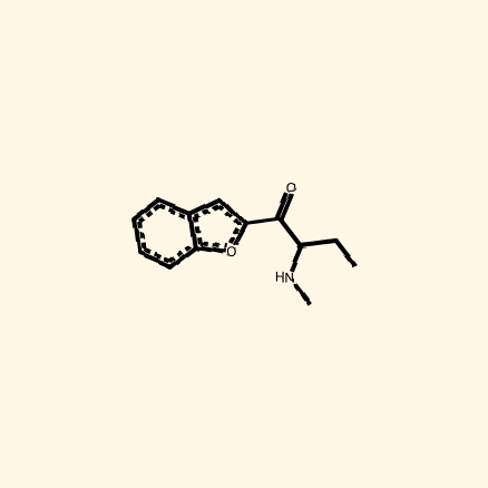 CCC(NC)C(=O)c1cc2ccccc2o1